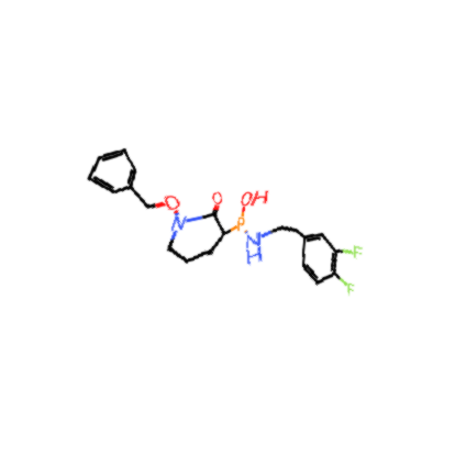 O=C1C(P(O)NCc2ccc(F)c(F)c2)CCCN1OCc1ccccc1